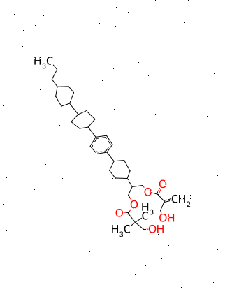 C=C(CO)C(=O)OCC(COC(=O)C(C)(C)CO)C1CCC(c2ccc(C3CCC(C4CCC(CCC)CC4)CC3)cc2)CC1